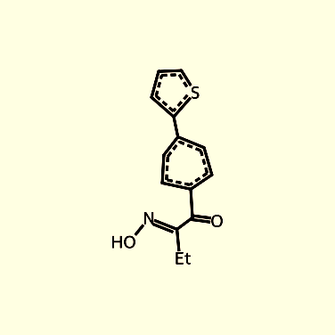 CCC(=NO)C(=O)c1ccc(-c2cccs2)cc1